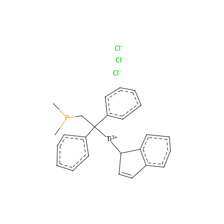 CP(C)C[C]([Ti+3][CH]1C=Cc2ccccc21)(c1ccccc1)c1ccccc1.[Cl-].[Cl-].[Cl-]